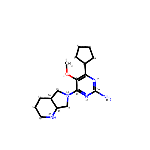 COc1c(C2CCCC2)nc(N)nc1N1CC2CCCNC2C1